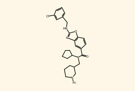 CC(=O)N1CCCC(CN(C(=O)c2ccc3oc(NCc4cccc(Cl)c4)nc3c2)C2CCCC2)C1